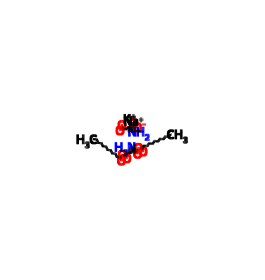 CCCCCCCCCCCC(=O)OC(=O)CC[C@H](N)C(=O)OC(=O)CCCCCCCCCCC.N[C@@H](CCC(=O)[O-])C(=O)[O-].[K+].[Na+]